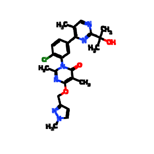 Cc1cnc(C(C)(C)O)nc1-c1ccc(Cl)c(-n2c(C)nc(OCc3ccn(C)n3)c(C)c2=O)c1